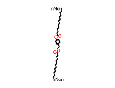 CCCCCCCCC/C=C/C=C/C=C/C=C/C=C/C=C/C(=O)OCCc1ccc(OC(=O)/C=C/C=C/C=C/C=C/C=C/C=C/CCCCCCCCC)cc1